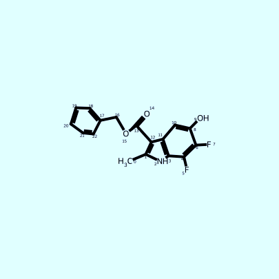 Cc1[nH]c2c(F)c(F)c(O)cc2c1C(=O)OCc1ccccc1